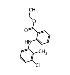 CCOC(=O)c1ccccc1Nc1cccc(Cl)c1C